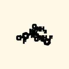 NC(=O)c1nc(-c2ccc(Cl)c(F)c2)nn1CC(=O)NCc1cccc(F)c1